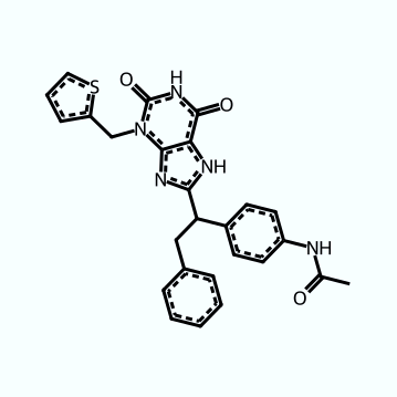 CC(=O)Nc1ccc(C(Cc2ccccc2)c2nc3c([nH]2)c(=O)[nH]c(=O)n3Cc2cccs2)cc1